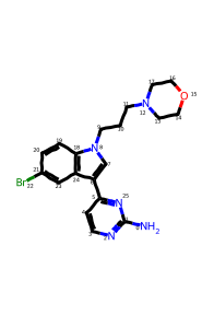 Nc1nccc(-c2cn(CCCN3CCOCC3)c3ccc(Br)cc23)n1